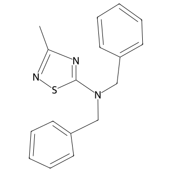 Cc1nsc(N(Cc2ccccc2)Cc2ccccc2)n1